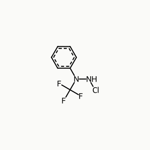 FC(F)(F)N(NCl)c1ccccc1